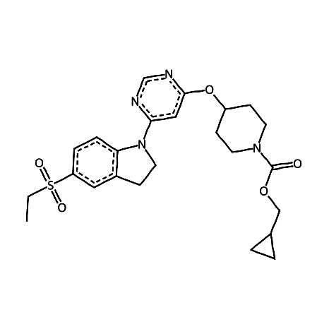 CCS(=O)(=O)c1ccc2c(c1)CCN2c1cc(OC2CCN(C(=O)OCC3CC3)CC2)ncn1